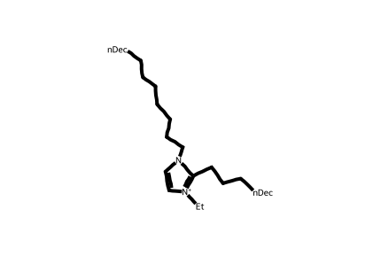 CCCCCCCCCCCCCCCCCn1cc[n+](CC)c1CCCCCCCCCCCCC